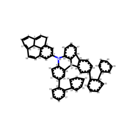 C1=CC2=CCc3cc(N4c5ccc(-c6ccccc6-c6ccccc6)cc5B5c6cc(-c7ccccc7-c7ccccc7)ccc6-c6cccc4c65)cc4c3C2C(=C1)C=C4